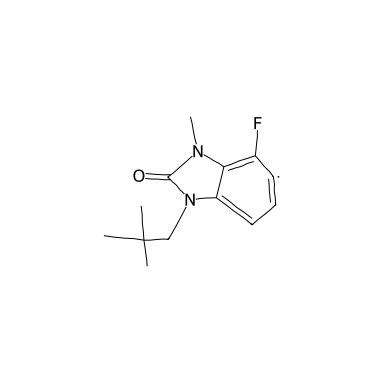 Cn1c(=O)n(CC(C)(C)C)c2cc[c]c(F)c21